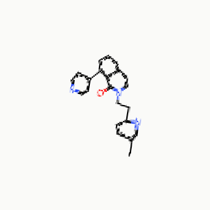 Cc1ccc(CCn2ccc3cccc(-c4ccncc4)c3c2=O)nc1